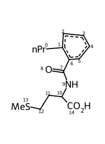 CCCc1ccccc1C(=O)NC(CCSC)C(=O)O